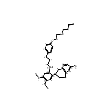 C=CCCNCCOc1ccc(CCCNc2cc(OC)c(OC)cc2C2CCc3cc(O)ccc3C2)cc1